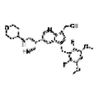 COc1cc(OC)c(F)c(Cc2cn(CO)c3ncc(/C(C=N)=C/NC4CCOCC4)cc23)c1F